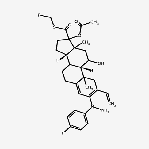 C=CC1=C(N(N)c2ccc(F)cc2)C=C2CCC3[C@H](C(O)CC4(C)[C@H]3CCC4(OC(C)=O)C(=O)SCF)C2(C)C1